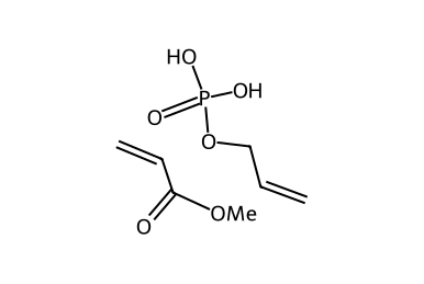 C=CC(=O)OC.C=CCOP(=O)(O)O